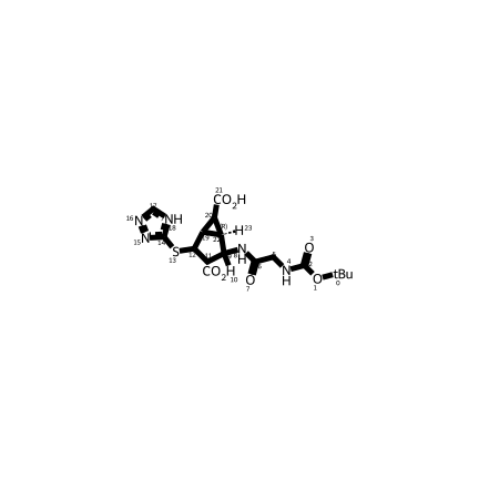 CC(C)(C)OC(=O)NCC(=O)NC1(C(=O)O)CC(Sc2nnc[nH]2)C2C(C(=O)O)[C@H]21